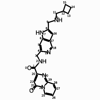 O=C(NCc1cc2[nH]c(CNCC3CCC3)cc2cn1)c1cc(=O)n2ccccc2n1